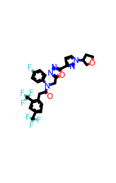 O=C(Cc1ccc(C(F)(F)F)cc1C(F)(F)F)N(Cc1nnc(-c2ccn(C3CCOC3)n2)o1)c1ccc(F)cc1